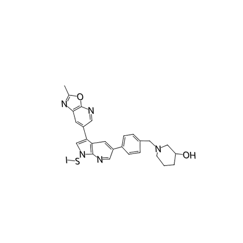 Cc1nc2cc(-c3cn(SI)c4ncc(-c5ccc(CN6CCCC(O)C6)cc5)cc34)cnc2o1